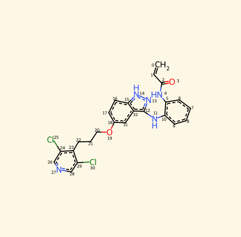 C=CC(=O)Nc1ccccc1Nc1n[nH]c2ccc(OCCCc3c(Cl)cncc3Cl)cc12